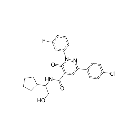 O=C(NC(CO)C1CCCC1)c1cc(-c2ccc(Cl)cc2)nn(-c2cccc(F)c2)c1=O